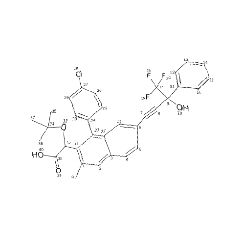 Cc1cc2ccc(C#CC(O)(c3ccccc3)C(F)(F)F)cc2c(-c2ccc(Cl)cc2)c1C(OC(C)(C)C)C(=O)O